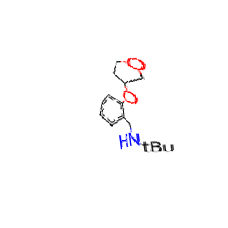 CC(C)(C)NCc1ccccc1OC1CCOC1